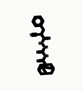 N#CC(Cc1ccccc1)C(=O)NNC(=S)NC(=O)C12CC3CC(CC(C3)C1)C2